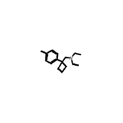 CCN(CC)CC1(c2ccc(C)cc2)CCC1